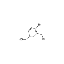 OCc1ccc(Br)c(CBr)c1